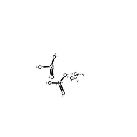 O.O=[N+]([O-])[O-].O=[N+]([O-])[O-].[Ge+2]